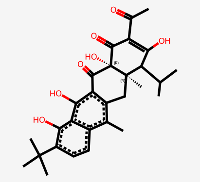 CC(=O)C1=C(O)C(C(C)C)[C@@]2(C)Cc3c(c(O)c4c(O)c(C(C)(C)C)ccc4c3C)C(=O)[C@@]2(O)C1=O